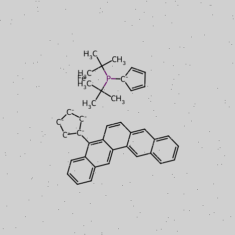 CC(C)(C)P([c-]1cccc1)C(C)(C)C.[Fe].c1ccc2cc3c(ccc4c(-[c-]5[cH-][cH-][cH-][cH-]5)c5ccccc5cc43)cc2c1